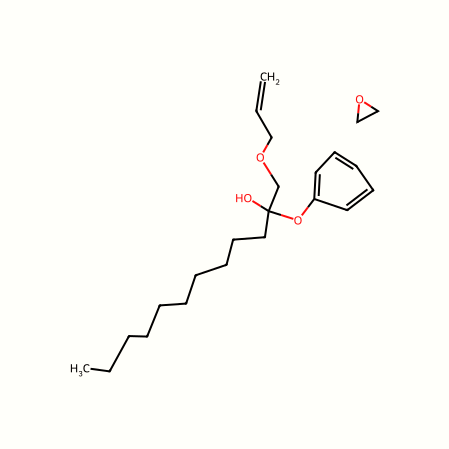 C1CO1.C=CCOCC(O)(CCCCCCCCCC)Oc1ccccc1